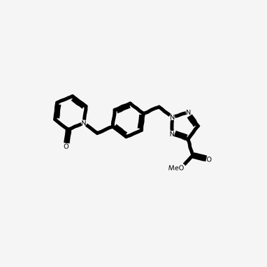 COC(=O)c1cnn(Cc2ccc(Cn3ccccc3=O)cc2)n1